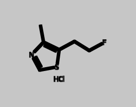 Cc1ncsc1CCF.Cl